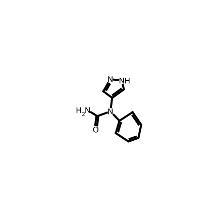 NC(=O)N(c1ccccc1)c1cn[nH]c1